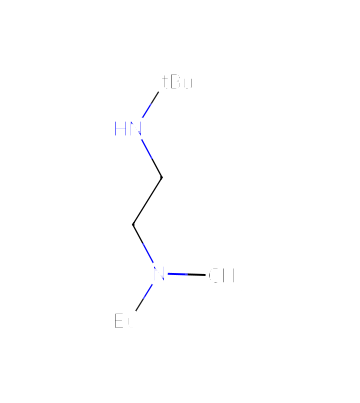 CCN(C)CCNC(C)(C)C